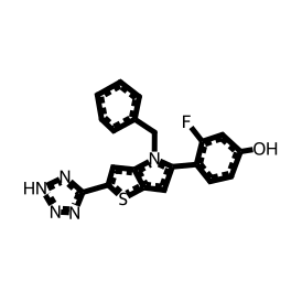 Oc1ccc(-c2cc3sc(-c4nn[nH]n4)cc3n2Cc2ccccc2)c(F)c1